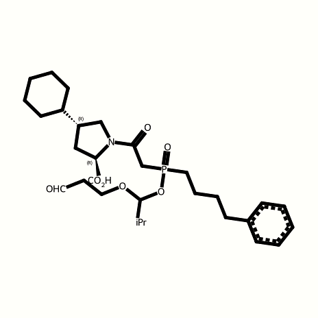 CC(C)C(OCCC=O)OP(=O)(CCCCc1ccccc1)CC(=O)N1C[C@@H](C2CCCCC2)C[C@@H]1C(=O)O